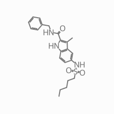 CCCCCS(=O)(=O)Nc1ccc2[nH]c(C(=O)NCc3ccccc3)c(C)c2c1